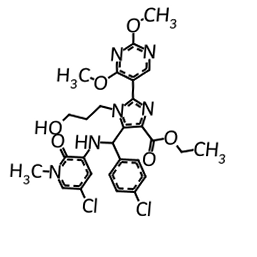 CCOC(=O)c1nc(-c2cnc(OC)nc2OC)n(CCCO)c1C(Nc1cc(Cl)cn(C)c1=O)c1ccc(Cl)cc1